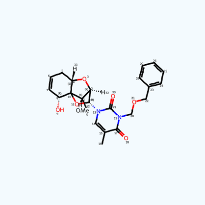 CO[C@H]1[C@H]2O[C@H]3CC=C[C@@H](O)C31O[C@H]2n1cc(C)c(=O)n(COCc2ccccc2)c1=O